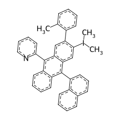 Cc1ccccc1-c1cc2c(-c3ccccn3)c3ccccc3c(-c3cccc4ccccc34)c2cc1I(C)C